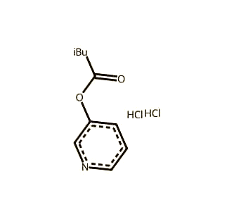 CCC(C)C(=O)Oc1cccnc1.Cl.Cl